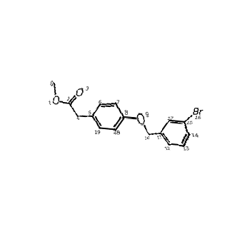 COC(=O)Cc1ccc(OCc2cccc(Br)c2)cc1